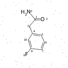 NC(=O)[CH]c1cccc(F)c1